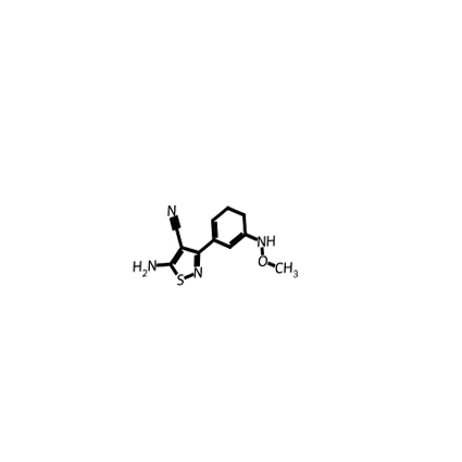 CONC1=CC(c2nsc(N)c2C#N)=CCC1